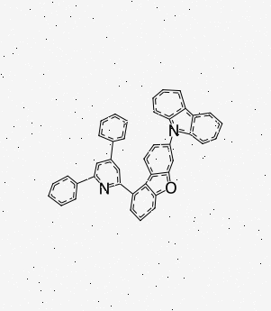 c1ccc(-c2cc(-c3ccccc3)nc(-c3cccc4oc5cc(-n6c7ccccc7c7ccccc76)ccc5c34)c2)cc1